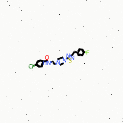 O=C(NCCN1CCN(c2nc(Cc3ccc(F)cc3)ns2)CC1)c1ccc(Cl)cc1